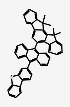 CC1(C)c2ccccc2-c2cc(-c3c4ccccc4c(-c4ccc5c(c4)sc4ccccc45)c4ccccc34)c3c(c21)C(C)(C)c1ccccc1-3